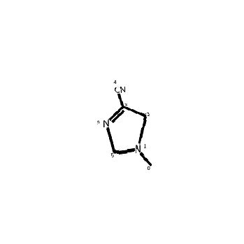 CN1[C]C(C#N)=NC1